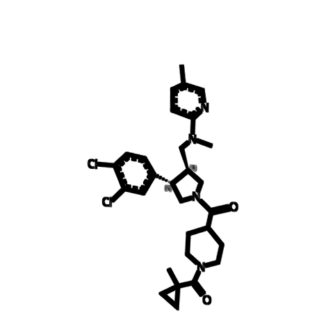 Cc1ccc(N(C)C[C@H]2CN(C(=O)C3CCN(C(=O)C4(C)CC4)CC3)C[C@@H]2c2ccc(Cl)c(Cl)c2)nc1